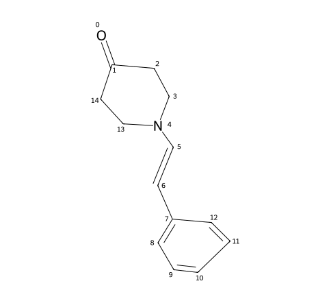 O=C1CCN(C=Cc2ccccc2)CC1